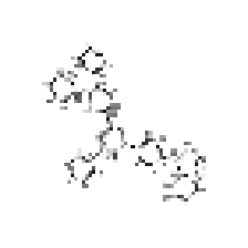 c1ccc(-c2nc(-c3ccc(-c4cncc5ccccc45)cc3)nc(-c3ccc4c5ccccc5c5ccccc5c4c3)n2)cc1